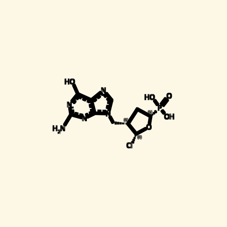 Nc1nc(O)c2ncn(C[C@@H]3C[C@H](P(=O)(O)O)O[C@@H]3Cl)c2n1